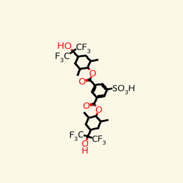 CC1CC(C(O)(C(F)(F)F)C(F)(F)F)CC(C)C1OC(=O)c1cc(C(=O)OC2C(C)CC(C(O)(C(F)(F)F)C(F)(F)F)CC2C)cc(S(=O)(=O)O)c1